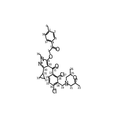 Cc1ccc(C(=O)COc2c(C(=O)c3ccc(Cl)c(CN4CC(C)OC(C)C4)c3Cl)c(C3CC3)nn2C)cc1